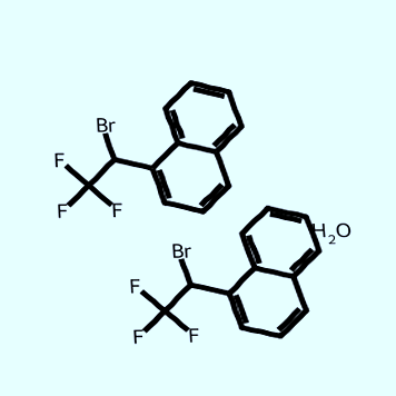 FC(F)(F)C(Br)c1cccc2ccccc12.FC(F)(F)C(Br)c1cccc2ccccc12.O